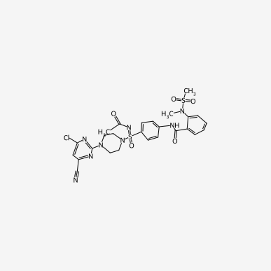 CC(=O)N=S(=O)(c1ccc(NC(=O)c2ccccc2N(C)S(C)(=O)=O)cc1)N1CCN(c2nc(Cl)cc(C#N)n2)CC1